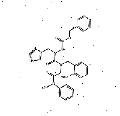 CCCN(C(=O)CN(Cc1ccccc1OC)C(=O)C(Cc1c[nH]cn1)NC(=O)OCc1ccccc1)c1ccccc1